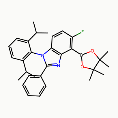 CC(C)c1cccc(C(C)C)c1-n1c(-c2ccccc2)nc2c(B3OC(C)(C)C(C)(C)O3)c(F)ccc21